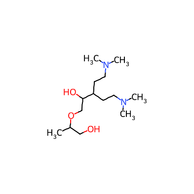 CC(CO)OCC(O)C(CCN(C)C)CCN(C)C